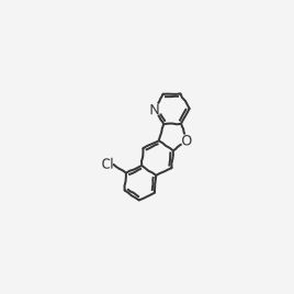 Clc1cccc2cc3oc4cccnc4c3cc12